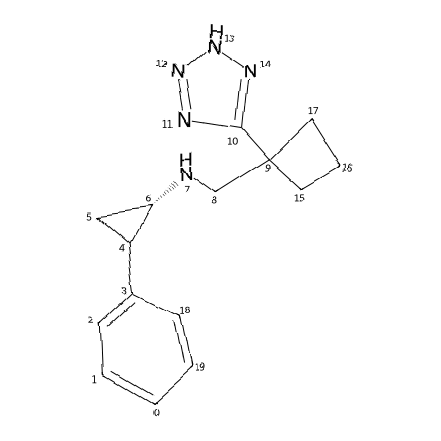 c1ccc(C2C[C@@H]2NCC2(c3nn[nH]n3)CCC2)cc1